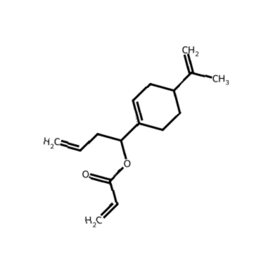 C=CCC(OC(=O)C=C)C1=CCC(C(=C)C)CC1